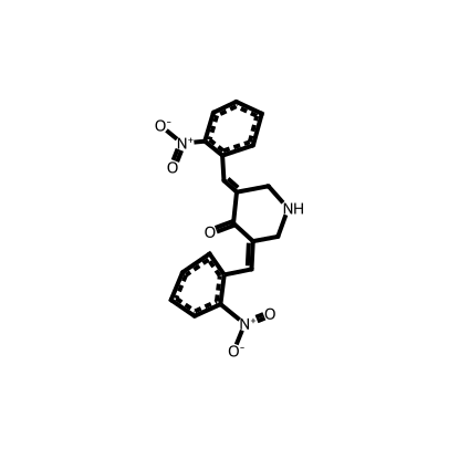 O=C1C(=Cc2ccccc2[N+](=O)[O-])CNCC1=Cc1ccccc1[N+](=O)[O-]